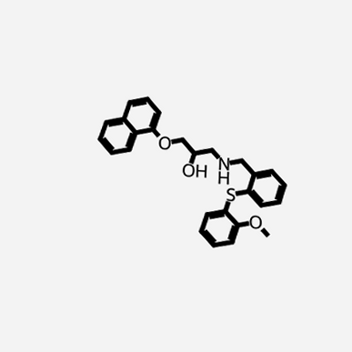 COc1ccccc1Sc1ccccc1CNCC(O)COc1cccc2ccccc12